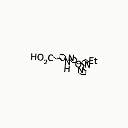 CCc1ccc(Oc2ccnc(Nc3cccc(CCC(=O)O)c3)c2)c(-c2ccccn2)n1